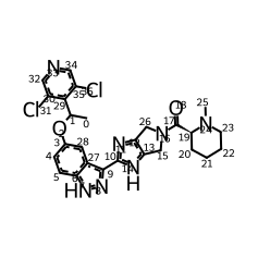 CC(Oc1ccc2[nH]nc(-c3nc4c([nH]3)CN(C(=O)[C@@H]3CCCCN3C)C4)c2c1)c1c(Cl)cncc1Cl